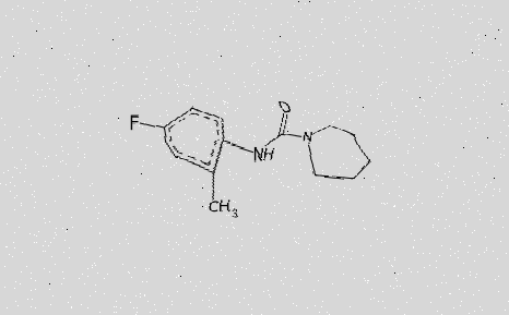 Cc1cc(F)ccc1NC(=O)N1CCCCC1